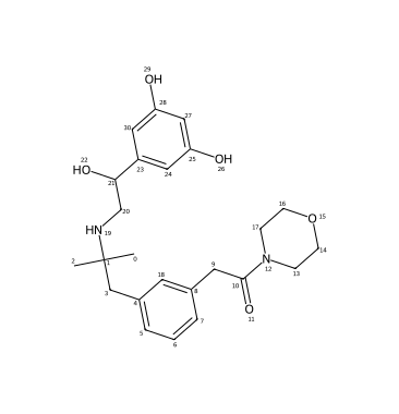 CC(C)(Cc1cccc(CC(=O)N2CCOCC2)c1)NCC(O)c1cc(O)cc(O)c1